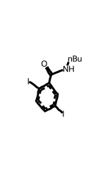 CCCCNC(=O)c1cc(I)ccc1I